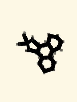 O=S1(=O)N=c2c(c3ccccc3c3ccccc23)=N1